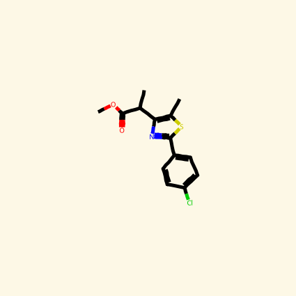 COC(=O)C(C)c1nc(-c2ccc(Cl)cc2)sc1C